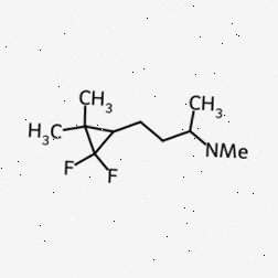 CNC(C)CCC1C(C)(C)C1(F)F